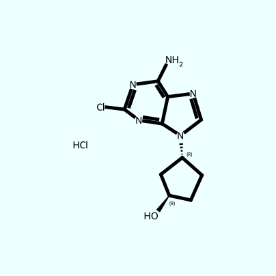 Cl.Nc1nc(Cl)nc2c1ncn2[C@@H]1CC[C@@H](O)C1